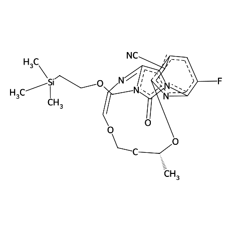 C[C@@H]1CCOC=CN=c2c3c4cc(F)c(nc(c4C#N)O1)n3c(=O)n2COCC[Si](C)(C)C